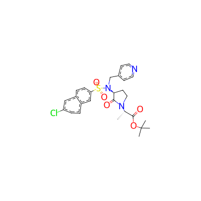 C[C@@H](C(=O)OC(C)(C)C)N1CC[C@H](N(Cc2ccncc2)S(=O)(=O)c2ccc3cc(Cl)ccc3c2)C1=O